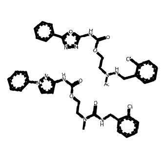 CC(=O)N(CCOC(=O)Nc1nnc(-c2ccccc2)o1)NCc1ccccc1Cl.CN(CCOC(=O)Nc1ccn(-c2ccccc2)n1)C(=O)NCc1ccccc1Cl